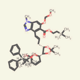 COCOc1cc2c(ncn2C)c(/C=C/C[C@@H]2OC(C)(C)O[C@@H]2C(/C=C\[C@@H](C)[C@H](C)O[Si](c2ccccc2)(c2ccccc2)C(C)(C)C)O[Si](C)(C)C(C)(C)C)c1C(=O)OCC[Si](C)(C)C